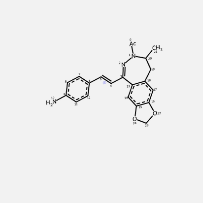 CC(=O)N1N=C(/C=C/c2ccc(N)cc2)c2cc3c(cc2CC1C)OCO3